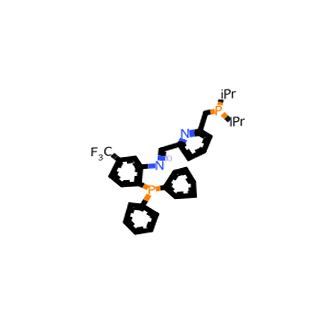 CC(C)P(Cc1cccc(/C=N/c2cc(C(F)(F)F)ccc2P(c2ccccc2)c2ccccc2)n1)C(C)C